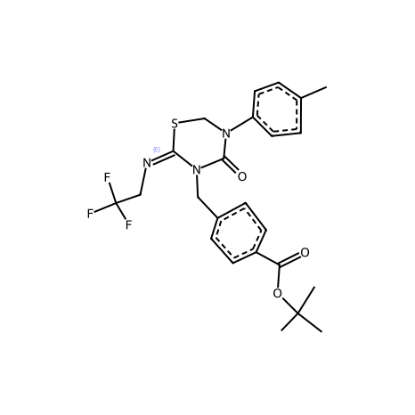 Cc1ccc(N2CS/C(=N/CC(F)(F)F)N(Cc3ccc(C(=O)OC(C)(C)C)cc3)C2=O)cc1